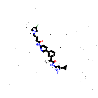 CC(C(=O)Nc1cc(C2CC2)[nH]n1)c1cccc(-c2ccc(NC(=O)/C=C/CN3CC[C@@H](F)C3)nc2)c1